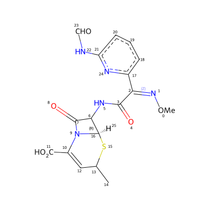 CO/N=C(\C(=O)NC1C(=O)N2C(C(=O)O)=CC(C)S[C@H]12)c1cccc(NC=O)n1